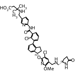 COc1nc(O[C@H]2CCc3c(-c4cccc(C(=O)Nc5ccc(CNC(C)(C)CC(=O)O)cn5)c4Cl)cccc32)c(Cl)cc1CNC[C@@H]1CCC(=O)N1